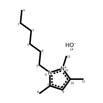 CCCCCCn1c(C)cc(C)[n+]1C.[OH-]